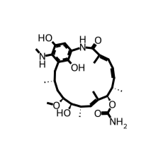 CNc1c(O)cc2c(O)c1C[C@@H](C)C[C@H](OC)[C@H](O)[C@@H](C)/C=C(\C)[C@H](OC(N)=O)[C@@H](C)/C=C\C=C(/C)C(=O)N2